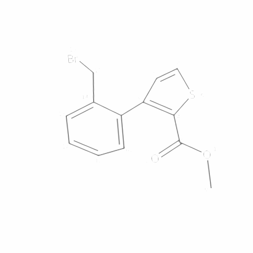 COC(=O)c1sccc1-c1ccccc1CBr